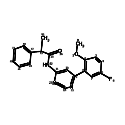 COc1ccc(F)cc1-c1cc(NC(=O)C(C)c2ccccc2)ncn1